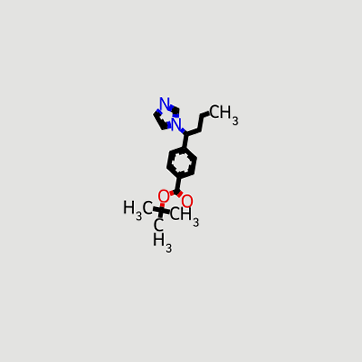 CCCC(c1ccc(C(=O)OC(C)(C)C)cc1)n1ccnc1